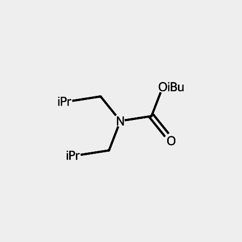 CC(C)COC(=O)N(CC(C)C)CC(C)C